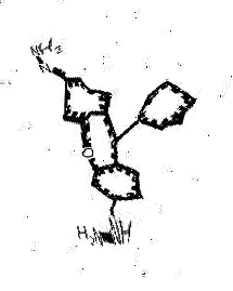 NN=c1ccc2c(-c3ccccc3)c3ccc(NN)cc3oc-2c1